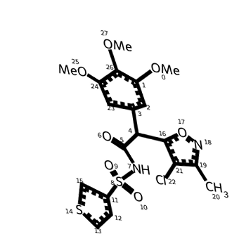 COc1cc(C(C(=O)NS(=O)(=O)c2ccsc2)c2onc(C)c2Cl)cc(OC)c1OC